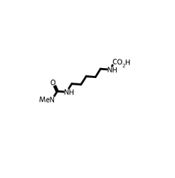 CNC(=O)NCCCCCNC(=O)O